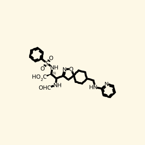 O=CNC(C1=NOC2(CCC(CNc3ccccn3)CC2)C1)[C@H](NS(=O)(=O)c1ccccc1)C(=O)O